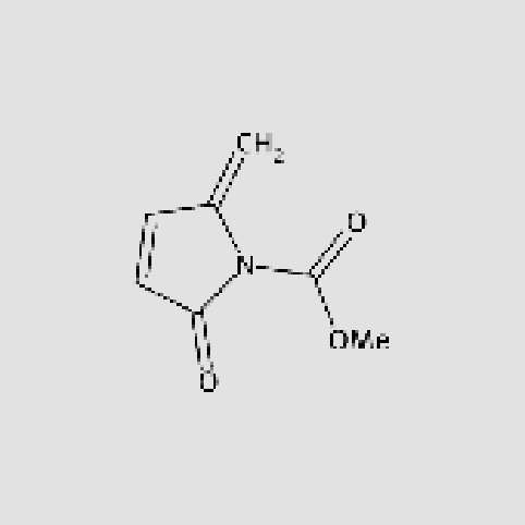 C=C1C=CC(=O)N1C(=O)OC